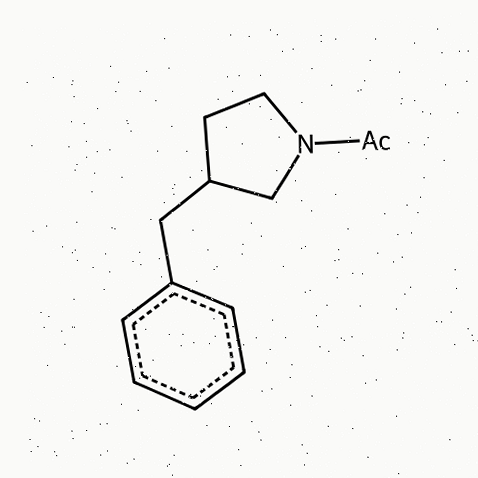 CC(=O)N1CCC(Cc2ccccc2)C1